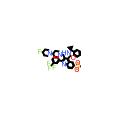 CS(=O)(=O)c1ccc2nc(-c3cccc(C(F)(F)F)c3)c(CN3CCC(N4CCC(F)CC4)CC3)c(C(=O)NC3(c4ccccc4)CC3)c2c1